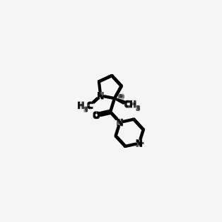 CN1CCC[C@]1(C)C(=O)N1CC[N]CC1